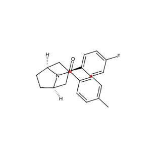 Cc1ccc(C(=O)N2[C@@H]3CC[C@H]2C[C@@H](c2ccc(F)cc2)C3)cc1